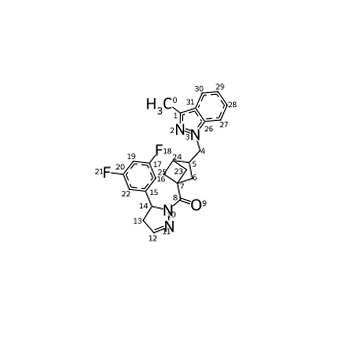 Cc1nn(CC2CC3(C(=O)N4N=CCC4c4cc(F)cc(F)c4)CC2C3)c2ccccc12